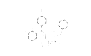 O=C(OCc1ccccc1)N1CCC[C@@H]1[C@H](O)[C@H](c1ccc(F)cc1)c1cccc(F)c1F